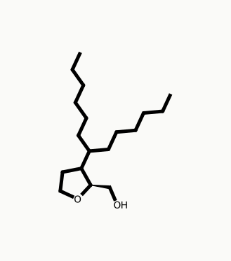 CCCCCCC(CCCCCC)C1CCO[C@@H]1CO